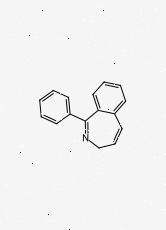 C1=Cc2ccccc2C(c2ccccc2)=NC1